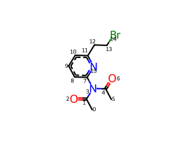 CC(=O)N(C(C)=O)c1cccc(CCBr)n1